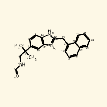 CC(C)(CNC=O)c1ccc2[nH]c(Cc3cccc4ccccc34)nc2c1